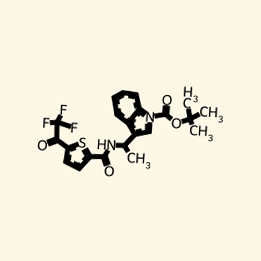 CC(NC(=O)c1ccc(C(=O)C(F)(F)F)s1)c1cn(C(=O)OC(C)(C)C)c2ccccc12